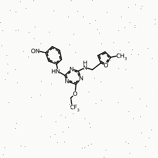 Cc1ccc(CNc2nc(Nc3cccc(N=O)c3)nc(OCC(F)(F)F)n2)o1